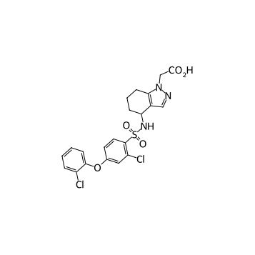 O=C(O)Cn1ncc2c1CCCC2NS(=O)(=O)c1ccc(Oc2ccccc2Cl)cc1Cl